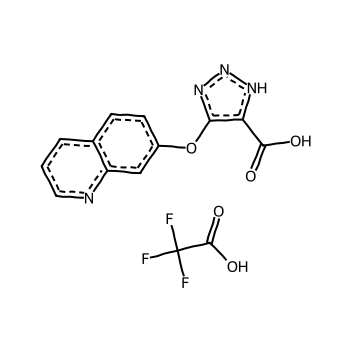 O=C(O)C(F)(F)F.O=C(O)c1[nH]nnc1Oc1ccc2cccnc2c1